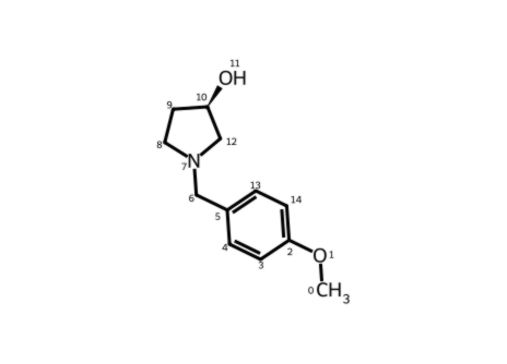 COc1ccc(CN2CC[C@@H](O)C2)cc1